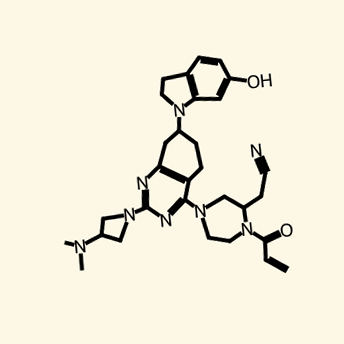 C=CC(=O)N1CCN(c2nc(N3CC(N(C)C)C3)nc3c2CCC(N2CCc4ccc(O)cc42)C3)CC1CC#N